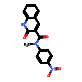 CN(C(=O)c1cc2ccccc2[nH]c1=O)c1ccc([N+](=O)[O-])cc1